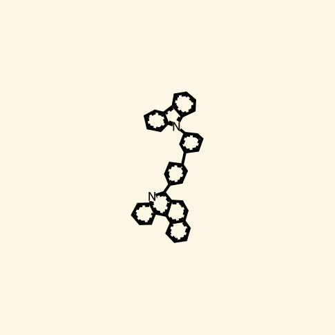 c1cc(-c2ccc(-c3nc4ccccc4c4c3ccc3ccccc34)cc2)cc(-n2c3ccccc3c3ccccc32)c1